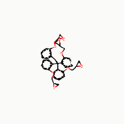 c1ccc(OCC2CO2)c(CC(c2ccccc2OCC2CO2)(c2ccccc2OCC2CO2)c2ccccc2OCC2CO2)c1